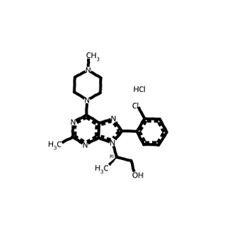 Cc1nc(N2CCN(C)CC2)c2nc(-c3ccccc3Cl)n([C@H](C)CO)c2n1.Cl